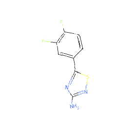 Nc1nsc(-c2ccc(F)c(F)c2)n1